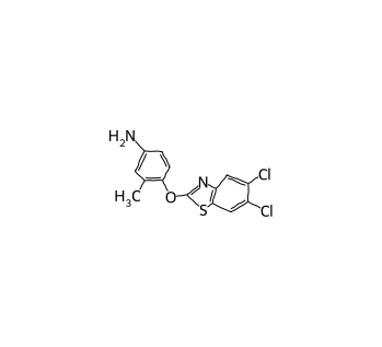 Cc1cc(N)ccc1Oc1nc2cc(Cl)c(Cl)cc2s1